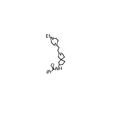 CCN1CCN(CCN2CCC3(CCC(NC(=O)C(C)C)C3)C2)CC1